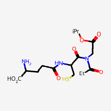 CCC(=O)N(CC(=O)OC(C)C)C(=O)C(CS)NC(=O)CCC(N)C(=O)O